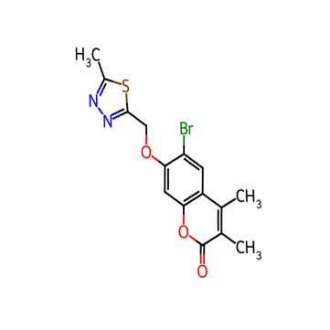 Cc1nnc(COc2cc3oc(=O)c(C)c(C)c3cc2Br)s1